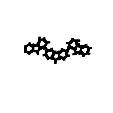 c1ccc2c(c1)oc1c(-c3ccc4oc5ccc(-c6ccnc7c6sc6ccccc67)cc5c4c3)ncnc12